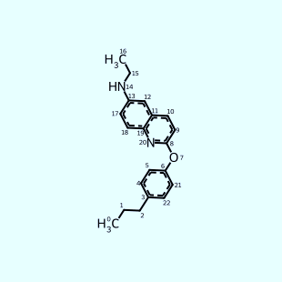 CCCc1ccc(Oc2ccc3cc(NCC)ccc3n2)cc1